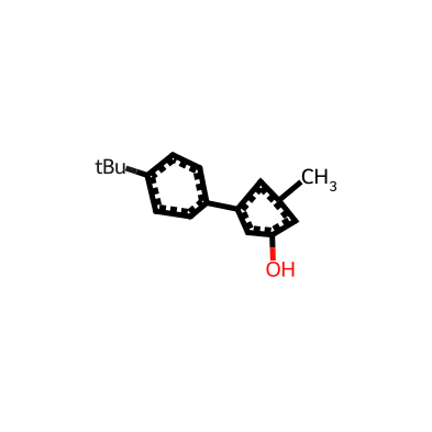 Cc1cc(O)cc(-c2ccc(C(C)(C)C)cc2)c1